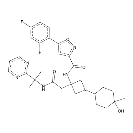 CC1(O)CCC(N2CC(CC(=O)NC(C)(C)c3ncccn3)(NC(=O)c3cc(-c4ccc(F)cc4F)on3)C2)CC1